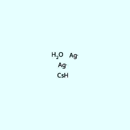 O.[Ag].[Ag].[CsH]